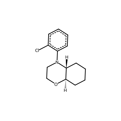 Clc1ccccc1N1CCO[C@@H]2CCCC[C@H]21